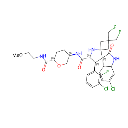 COCCNC(=O)[C@@H]1CC[C@@H](NC(=O)[C@@H]2NC3(CC(CF)(CF)C3)[C@@]3(C(=O)NC4C=C(Cl)C=CC43)[C@H]2c2cccc(Cl)c2F)CO1